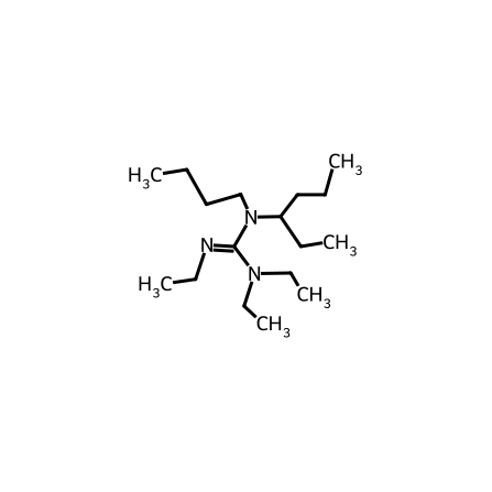 CCCCN(C(=NCC)N(CC)CC)C(CC)CCC